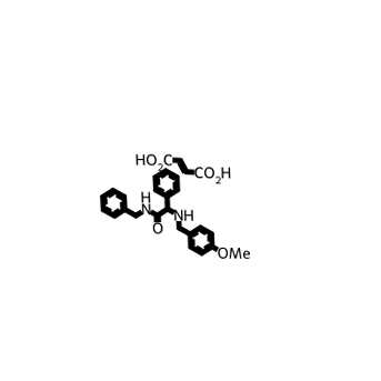 COc1ccc(CNC(C(=O)NCc2ccccc2)c2ccccc2)cc1.O=C(O)/C=C/C(=O)O